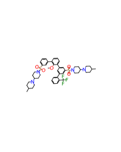 COc1c(-c2cccc(S(=O)(=O)N3CCC(N4CCC(C)CC4)CC3)c2)cccc1-c1cc(-c2ccccc2C(F)(F)F)cc(S(=O)(=O)N2CCC(N3CCC(C)CC3)CC2)c1